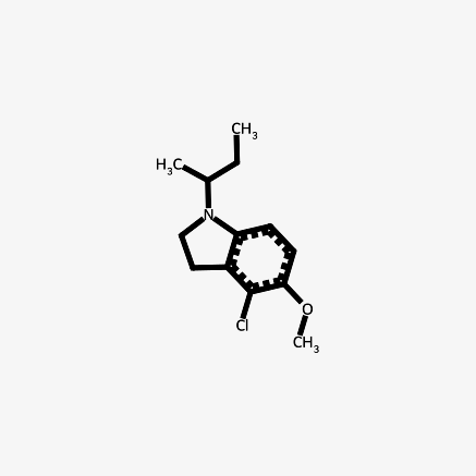 CCC(C)N1CCc2c1ccc(OC)c2Cl